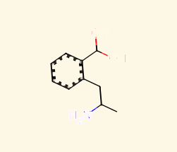 CC(N)Cc1ccccc1C(O)O